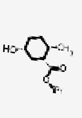 CC(C)OC(=O)[C@@H]1C[C@H](O)CC[C@H]1C